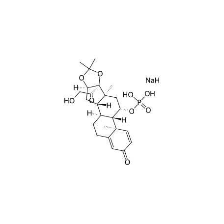 CC1(C)O[C@@H]2C[C@H]3[C@@H]4CCC5=CC(=O)C=C[C@]5(C)[C@H]4[C@@H](OP(=O)(O)O)C[C@]3(C)[C@]2(C(=O)CO)O1.[NaH]